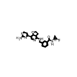 Nc1nccc(-c2cnc(NCc3cccc(C(=O)N[C@@H]4C[C@@H]4F)c3)c3c2OCC3)n1